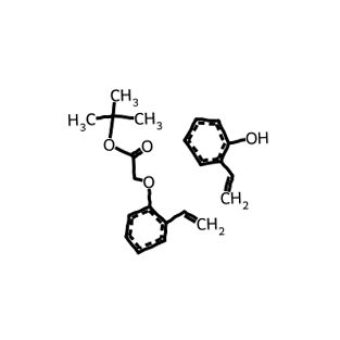 C=Cc1ccccc1O.C=Cc1ccccc1OCC(=O)OC(C)(C)C